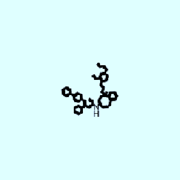 C=C/C=C\c1ccc(/C=C/CC2(C)C/C=C(N/C(C=C)=C/C(=C/c3ccc(-c4ccccc4)cc3)C3=CC=CCC3)\C=C/Cc3ccccc32)c(C=C)c1